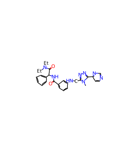 CCN(CC)C(=O)C(NC(=O)c1cccc(NCc2nnc(-c3ccncn3)n2C)c1)c1ccccc1